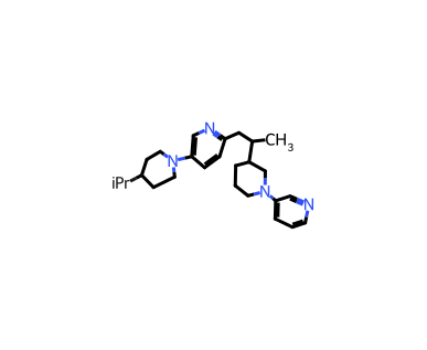 CC(C)C1CCN(c2ccc(CC(C)C3CCCN(c4cccnc4)C3)nc2)CC1